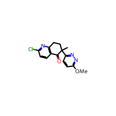 COc1ccc(C2(C)CCc3nc(Cl)ccc3C2=O)nn1